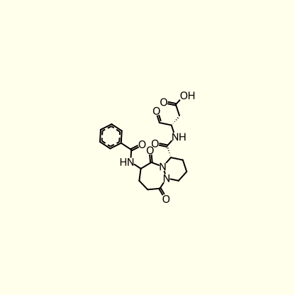 O=C[C@H](CC(=O)O)NC(=O)[C@@H]1CCCN2C(=O)CCC(NC(=O)c3ccccc3)C(=O)N12